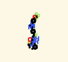 CC1=CSC(NC(=O)NCC(F)c2ccc(-c3ncn(-c4ccc(OC(F)(F)F)cc4)n3)cc2)N1c1c(C)cccc1C